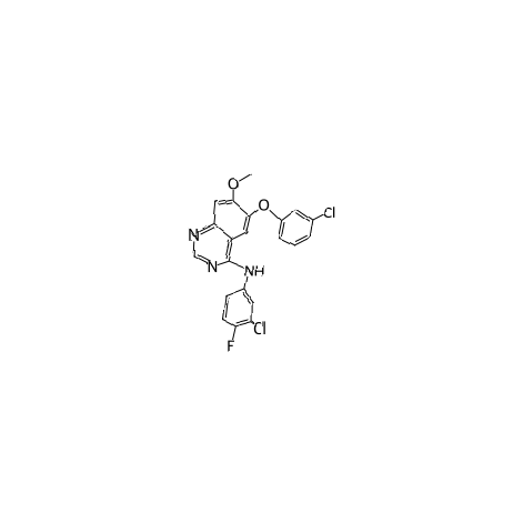 COc1cc2ncnc(Nc3ccc(F)c(Cl)c3)c2cc1Oc1cccc(Cl)c1